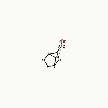 [Br][Mg][CH]1CC2CCC1C2